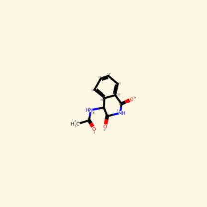 CC(=O)NC1C(=O)NC(=O)c2ccccc21